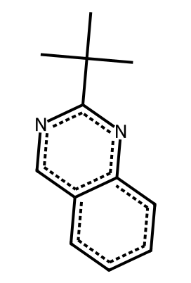 CC(C)(C)c1ncc2ccccc2n1